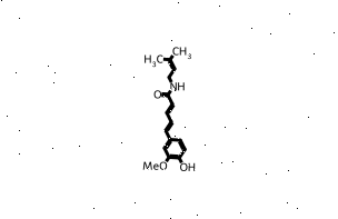 COc1cc(C=CC=CC(=O)NCC=C(C)C)ccc1O